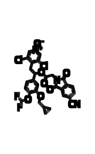 N#Cc1ccc2c(c1)C(=O)N(CC(=O)OC(Cc1c(Cl)c[n+]([O-])cc1Cl)c1ccc(OC(F)F)c(OCC3CC3)c1)C2=O